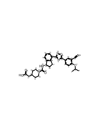 CC(C)Oc1ccc(-c2nc(-c3cccc4c3CC[C@H]4NC(=O)N3CCC(CC(=O)O)CC3)no2)cc1C#N